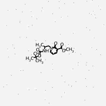 COC(=O)c1cccn(CC(C)NC(=O)OC(C)(C)C)c1=O